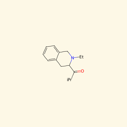 CCN1Cc2ccccc2CC1C(=O)C(C)C